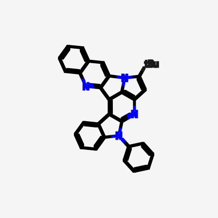 CC(C)(C)c1cc2nc3c(c4ccccc4n3-c3ccccc3)c3c4nc5ccccc5cc4n1c23